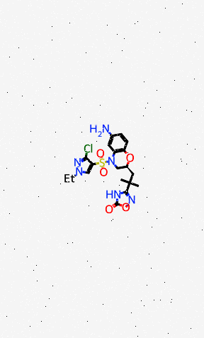 CCn1cc(S(=O)(=O)N2C[C@H](CC(C)(C)c3noc(=O)[nH]3)Oc3ccc(N)cc32)c(Cl)n1